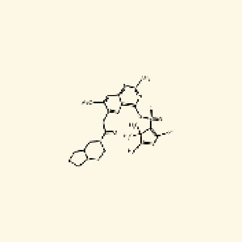 COc1cc2nc(C)nc(OS(=O)(=O)C3=C(C(C)C)C=C(C)C3(C)C)c2cc1OC(=O)N1CCN2CCCC2C1